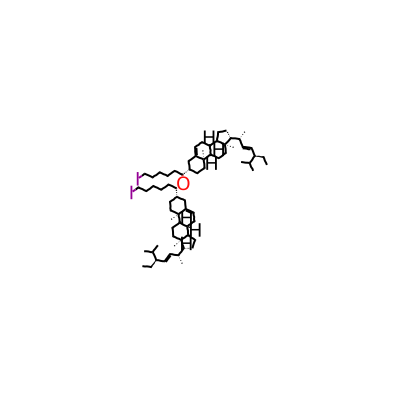 CC[C@H](/C=C/[C@@H](C)[C@H]1CC[C@H]2[C@@H]3CC=C4C[C@@H](C(CCCCCI)OC(CCCCCI)[C@H]5CC[C@@]6(C)C(=CC[C@H]7[C@@H]8CC[C@H]([C@H](C)/C=C/[C@@H](CC)C(C)C)[C@@]8(C)CC[C@@H]76)C5)CC[C@]4(C)[C@H]3CC[C@]12C)C(C)C